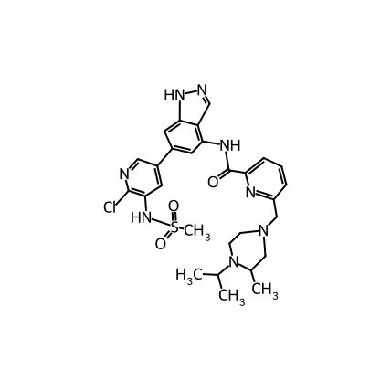 CC(C)N1CCN(Cc2cccc(C(=O)Nc3cc(-c4cnc(Cl)c(NS(C)(=O)=O)c4)cc4[nH]ncc34)n2)CC1C